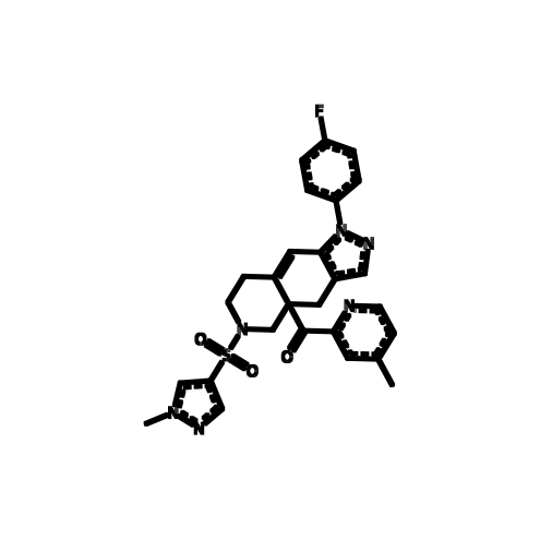 Cc1ccnc(C(=O)C23Cc4cnn(-c5ccc(F)cc5)c4C=C2CCN(S(=O)(=O)c2cnn(C)c2)C3)c1